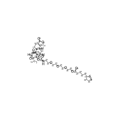 CC(C)[C@]12O[C@H]1[C@@H]1O[C@]13[C@]1(O[C@H]1C[C@H]1C4=C(CC[C@@]13C)C(=O)OC4)[C@@H]2OC(=O)NCCOCCOCCOCCOC(=O)CCCCC1CCSS1